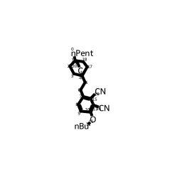 CCCCCC12CCC(CCc3ccc(OCCCC)c(C#N)c3C#N)(CC1)CC2